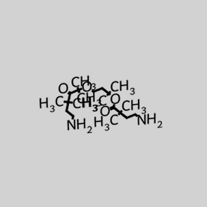 CC(C)(CCOC(C)(C)C(=O)C(C)(C)CCN)OC(=O)C(C)(C)CCN